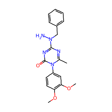 COc1ccc(-n2c(C)nc(N(N)Cc3ccccc3)nc2=O)cc1OC